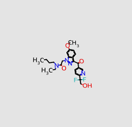 CCCCN(CC)C(=O)Cn1nc(C(=O)c2ccc(C(F)(F)CO)nc2)c2ccc(OC)cc21